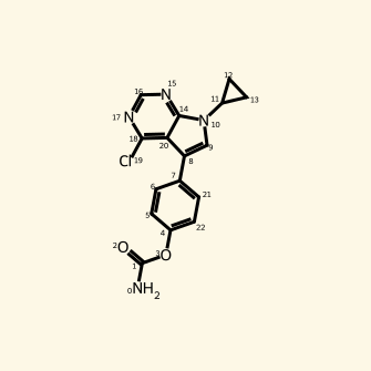 NC(=O)Oc1ccc(-c2cn(C3CC3)c3ncnc(Cl)c23)cc1